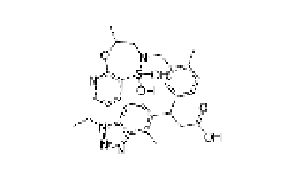 CCn1nnc2c(C)c(C(CC(=O)O)c3ccc(C)c(CN4CC(C)Oc5ncccc5S4(O)O)c3)ccc21